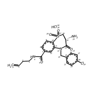 C=CCCNC(=O)c1ccc2c(c1)N(Cc1ccc(Cl)cc1)C(=O)[C@@H](N)CS2(=O)=O.Cl